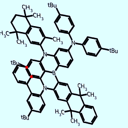 Cc1cc2c(cc1N1c3cc(N(c4ccc(C(C)(C)C)cc4)c4ccc(C(C)(C)C)cc4)ccc3B3c4cc5c(cc4N(c4ccc(C(C)(C)C)cc4-c4ccccc4)c4cc(C(C)(C)C)cc1c43)C(C)(C)c1ccccc1C5(C)C)C(C)(C)CCC2(C)C